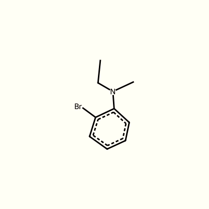 CCN(C)c1ccccc1Br